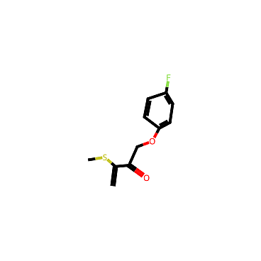 C=C(SC)C(=O)COc1ccc(F)cc1